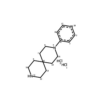 Cl.Cl.c1cc(N2CCC3(CCNCC3)CC2)ccn1